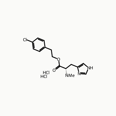 CN[C@@H](Cc1c[nH]cn1)C(=O)OCCc1ccc(Cl)cc1.Cl.Cl